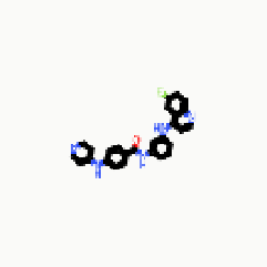 O=C(Nc1cccc(Nc2ccnc3ccc(F)cc23)c1)c1ccc(Nc2ccncc2)cc1